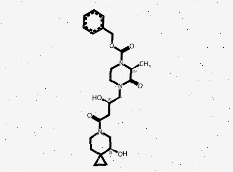 C[C@H]1C(=O)N(C[C@H](O)CC(=O)N2CCC3(CC3)[C@H](O)C2)CCN1C(=O)OCc1ccccc1